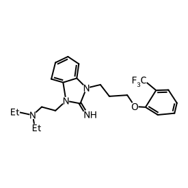 CCN(CC)CCn1c(=N)n(CCCOc2ccccc2C(F)(F)F)c2ccccc21